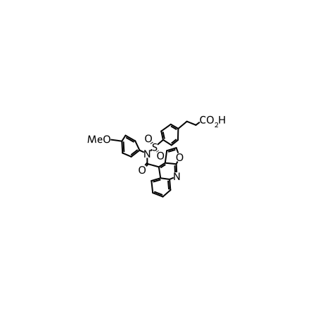 COc1ccc(N(C(=O)c2c3ccccc3nc3occc23)S(=O)(=O)c2ccc(CCC(=O)O)cc2)cc1